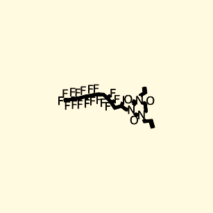 C=CCN1CC(=O)N(CC=C)C(=O)N(CC(I)CC(F)(F)C(F)(F)CC(F)(F)C(F)(F)C(F)(F)C(F)(F)C(F)(F)C(F)(F)F)C1=O